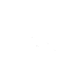 C[C@@H]1CN(/C(=N/N=N)Nc2ccccc2)[C@@H](C)CN1